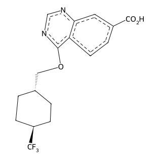 O=C(O)c1ccc2c(OC[C@H]3CC[C@H](C(F)(F)F)CC3)ncnc2c1